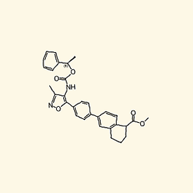 COC(=O)C1CCCc2cc(-c3ccc(-c4onc(C)c4NC(=O)O[C@H](C)c4ccccc4)cc3)ccc21